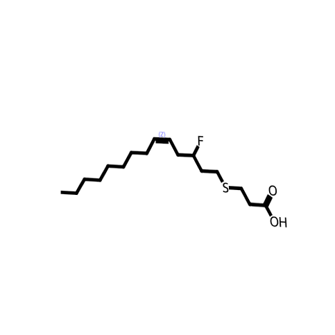 CCCCCCCC/C=C\CC(F)CCSCCC(=O)O